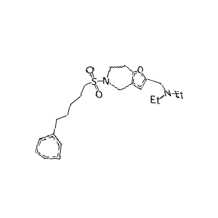 CCN(CC)Cc1cc2c(o1)CCN(S(=O)(=O)CCCCCc1ccccc1)C2